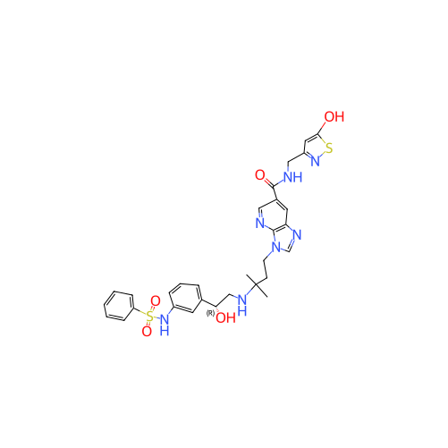 CC(C)(CCn1cnc2cc(C(=O)NCc3cc(O)sn3)cnc21)NC[C@H](O)c1cccc(NS(=O)(=O)c2ccccc2)c1